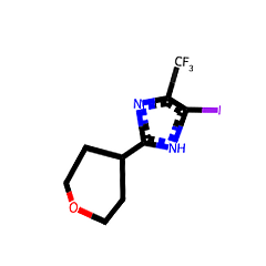 FC(F)(F)c1nc(C2CCOCC2)[nH]c1I